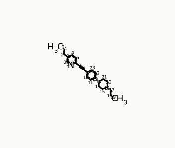 CCCc1ccc(C#Cc2ccc([C@H]3CC[C@H](CCC)CC3)cc2)nc1